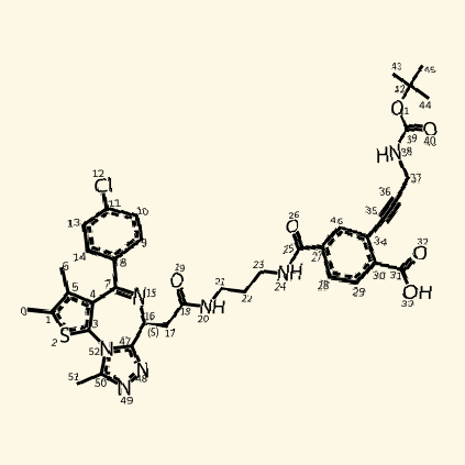 Cc1sc2c(c1C)C(c1ccc(Cl)cc1)=N[C@@H](CC(=O)NCCCNC(=O)c1ccc(C(=O)O)c(C#CCNC(=O)OC(C)(C)C)c1)c1nnc(C)n1-2